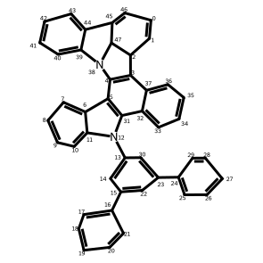 C1=CC2c3c(c4c5ccccc5n(-c5cc(-c6ccccc6)cc(-c6ccccc6)c5)c4c4ccccc34)N3c4ccccc4C(=C1)C23